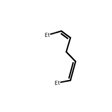 CC/C=C\C/C=C\CC